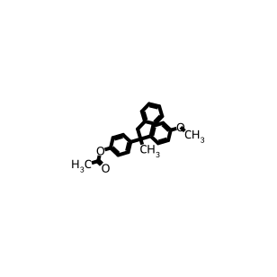 COc1ccc(C(C)(Cc2ccccc2)c2ccc(OC(C)=O)cc2)cc1